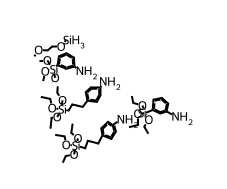 CCO[Si](CCCc1ccc(N)cc1)(OCC)OCC.CCO[Si](CCCc1ccc(N)cc1)(OCC)OCC.CCO[Si](OCC)(OCC)c1cccc(N)c1.COCCO[SiH3].CO[Si](OC)(OC)c1cccc(N)c1